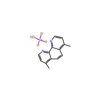 Cc1ccnc2c1ccc1c(C)ccnc12.[O-][I+3]([O-])([O-])O